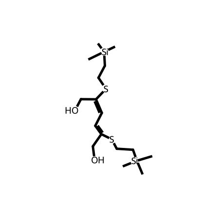 C[Si](C)(C)CCSC(=CC=C(CO)SCC[Si](C)(C)C)CO